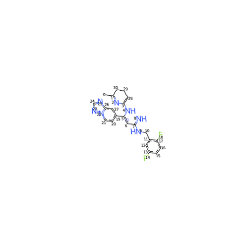 CC1=NC(N/C(=C\C(=N)NCc2cc(F)ccc2F)c2ccn3ncnc3c2)=CCC1